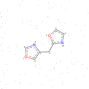 c1coc(Cc2cocn2)n1